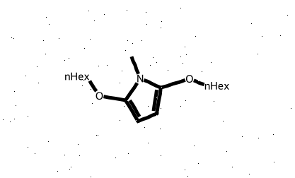 CCCCCCOc1ccc(OCCCCCC)n1C